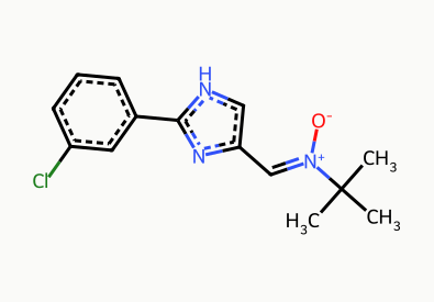 CC(C)(C)/[N+]([O-])=C/c1c[nH]c(-c2cccc(Cl)c2)n1